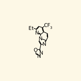 CCc1cc(C(F)(F)F)c2ccc3nc(-c4nnco4)cn3c2n1